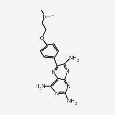 CN(C)CCOc1ccc(-c2nc3c(N)nc(N)nc3nc2N)cc1